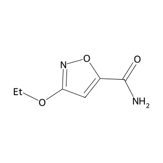 CCOc1cc(C(N)=O)on1